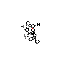 CNc1cccc(N2c3ccc(C#N)cc3C3C=CC=CC32C)c1-c1cccc2c1oc1c2ccc2c1c1ccccc1n2-c1ccccc1